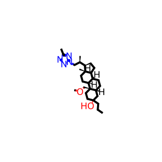 CCC[C@@]1(O)CC[C@@]2(COC)[C@H](CC[C@H]3[C@@H]4CC[C@H]([C@H](C)Cn5nnc(C)n5)[C@@]4(C)CC[C@@H]32)C1